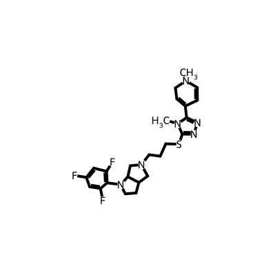 CN1C=CC(c2nnc(SCCCN3CC4CCN(c5c(F)cc(F)cc5F)C4C3)n2C)=CC1